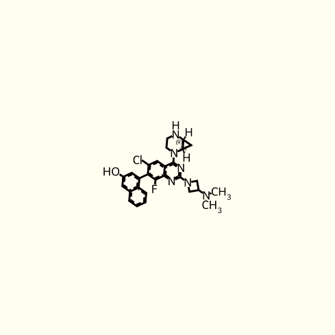 CN(C)C1CN(c2nc(N3CCN[C@@H]4C[C@@H]43)c3cc(Cl)c(-c4cc(O)cc5ccccc45)c(F)c3n2)C1